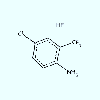 F.Nc1ccc(Cl)cc1C(F)(F)F